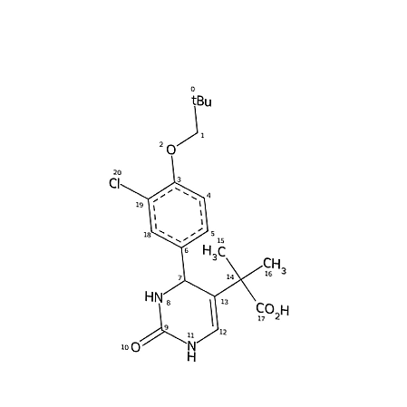 CC(C)(C)COc1ccc(C2NC(=O)NC=C2C(C)(C)C(=O)O)cc1Cl